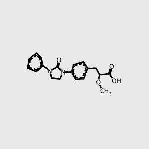 COC(Cc1ccc(N2CCN(c3ccccc3)C2=O)cc1)C(=O)O